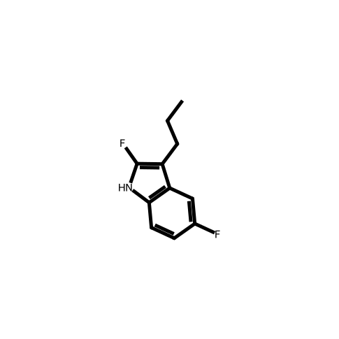 CCCc1c(F)[nH]c2ccc(F)cc12